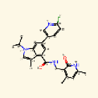 Cc1cc(C)c(CNC(=O)c2cc(-c3ccc(F)nc3)cc3c2c(C)cn3C(C)C)c(=O)[nH]1